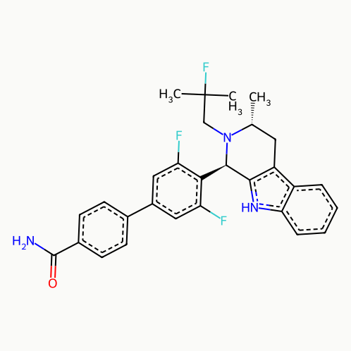 C[C@@H]1Cc2c([nH]c3ccccc23)[C@@H](c2c(F)cc(-c3ccc(C(N)=O)cc3)cc2F)N1CC(C)(C)F